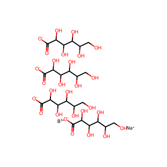 O=C([O-])C(O)C(O)C(O)C(O)CO.O=C([O-])C(O)C(O)C(O)C(O)CO.O=C([O-])C(O)C(O)C(O)C(O)CO.O=C([O-])C(O)C(O)C(O)C(O)CO.[B+3].[Na+]